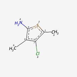 Cc1sc(N)c(C)c1Cl